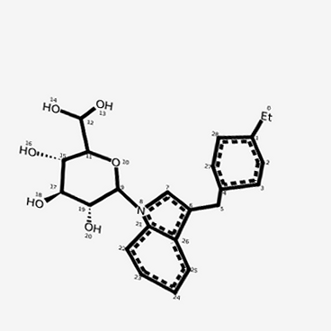 CCc1ccc(Cc2cn(C3OC(C(O)O)[C@@H](O)[C@H](O)[C@H]3O)c3ccccc23)cc1